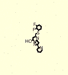 Oc1cc(CSc2cccc(F)c2F)nc2cc(-c3ccccn3)nn12